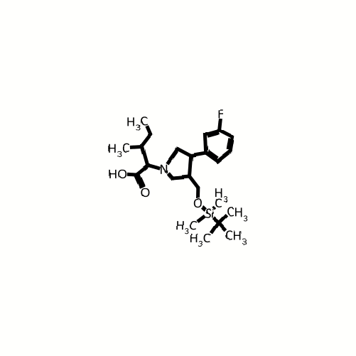 CCC(C)C(C(=O)O)N1CC(CO[Si](C)(C)C(C)(C)C)C(c2cccc(F)c2)C1